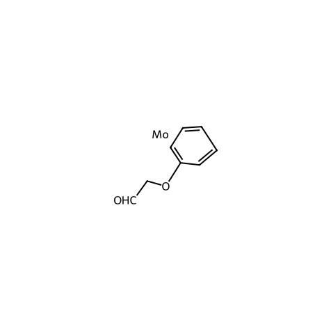 O=CCOc1ccccc1.[Mo]